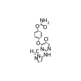 Cn1nccc1Nc1ncc(Cl)c(Oc2ccc(OC(N)=O)cc2)n1